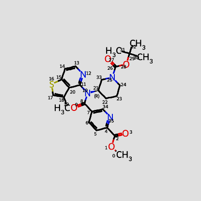 COC(=O)c1ccc(C(=O)N(c2nccc3scc(C)c23)[C@@H]2CCCN(C(=O)OC(C)(C)C)C2)cn1